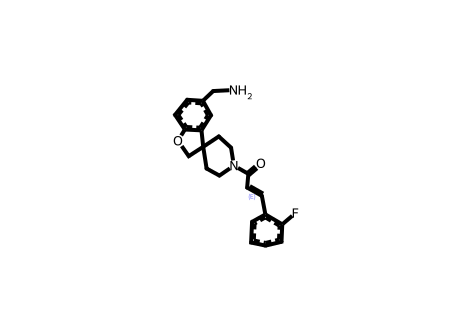 NCc1ccc2c(c1)C1(CCN(C(=O)/C=C/c3ccccc3F)CC1)CO2